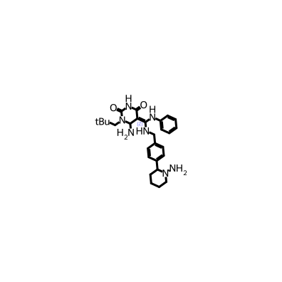 CC(C)(C)CN1C(=O)NC(=O)/C(=C(/NCc2ccc(C3CCCCN3N)cc2)Nc2ccccc2)C1N